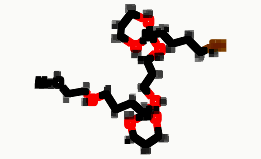 COCCOCCC[Si]1(OCCCO[Si]2(CCCCS)OCCCO2)OCCCO1